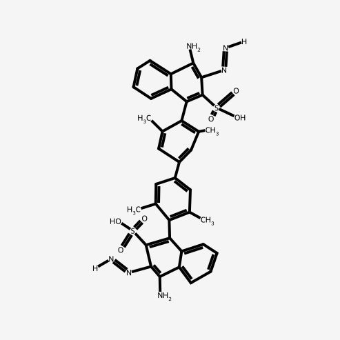 [H]/N=N/c1c(S(=O)(=O)O)c(-c2c(C)cc(-c3cc(C)c(-c4c(S(=O)(=O)O)c(/N=N/[H])c(N)c5ccccc45)c(C)c3)cc2C)c2ccccc2c1N